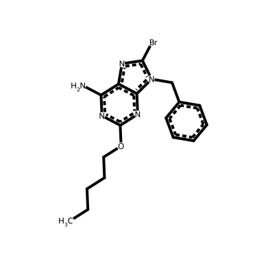 CCCCCOc1nc(N)c2nc(Br)n(Cc3ccccc3)c2n1